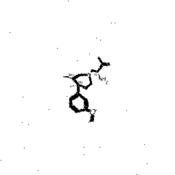 COc1cccc([C@]2(C)CCN(C[C@@H](N)C(C)C)C[C@@H]2C)c1